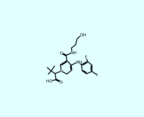 CC(C)(C)C(C(=O)O)N1C=C(C(=O)NCCCO)C(Nc2ccc(I)cc2F)=CC1